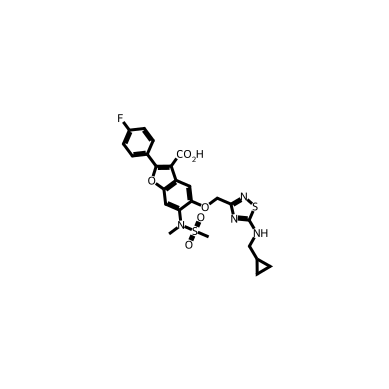 CN(c1cc2oc(-c3ccc(F)cc3)c(C(=O)O)c2cc1OCc1nsc(NCC2CC2)n1)S(C)(=O)=O